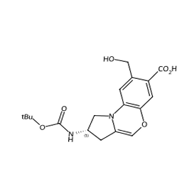 CC(C)(C)OC(=O)N[C@H]1CC2=COc3cc(C(=O)O)c(CO)cc3N2C1